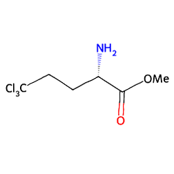 COC(=O)[C@@H](N)CCC(Cl)(Cl)Cl